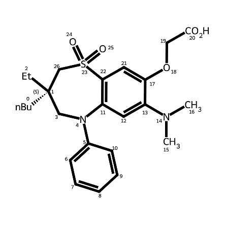 CCCC[C@@]1(CC)CN(c2ccccc2)c2cc(N(C)C)c(OCC(=O)O)cc2S(=O)(=O)C1